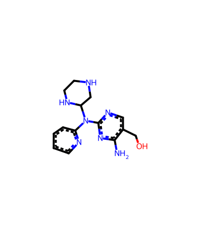 Nc1nc(N(c2ccccn2)C2CNCCN2)ncc1CO